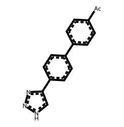 CC(=O)c1ccc(-c2ccc(-c3c[nH]nn3)cc2)cc1